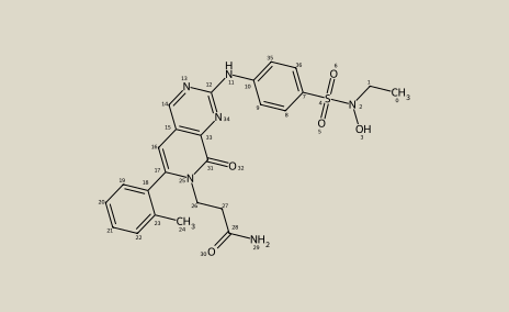 CCN(O)S(=O)(=O)c1ccc(Nc2ncc3cc(-c4ccccc4C)n(CCC(N)=O)c(=O)c3n2)cc1